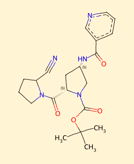 CC(C)(C)OC(=O)N1C[C@@H](NC(=O)c2cccnc2)C[C@H]1C(=O)N1CCCC1C#N